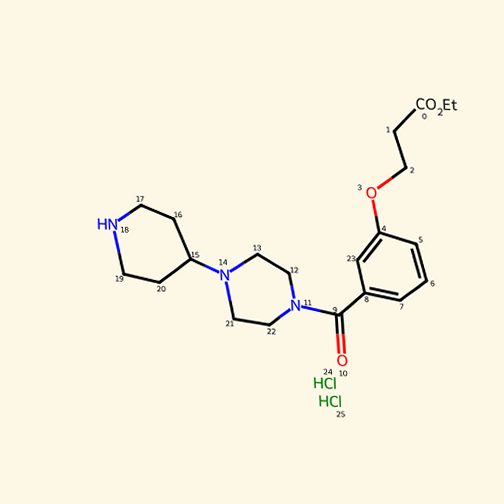 CCOC(=O)CCOc1cccc(C(=O)N2CCN(C3CCNCC3)CC2)c1.Cl.Cl